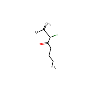 C=C(C)[C@@H](Cl)C(=O)CCCC